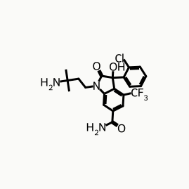 CC(C)(N)CCN1C(=O)C(O)(c2ccccc2Cl)c2c1cc(C(N)=O)cc2C(F)(F)F